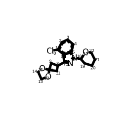 Clc1cccc2c1c(C1CC3(C1)OCCO3)nn2C1CCCCO1